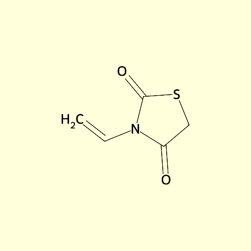 C=CN1C(=O)CSC1=O